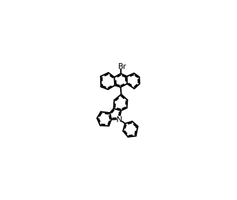 Brc1c2ccccc2c(-c2ccc3c(c2)c2ccccc2n3-c2ccccc2)c2ccccc12